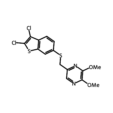 COc1ncc(CSc2ccc3c(Cl)c(Cl)sc3c2)nc1OC